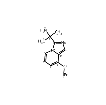 CC(C)Sc1cccn2c(C(C)(C)N)ncc12